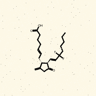 C=C1CC(=O)[C@H](C=CC(F)(F)CCCCC)[C@H]1CC=CCCCC(=O)O